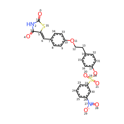 O=C1NC(=O)C(=Cc2ccc(OCCc3ccc(OS(=O)(=O)c4cccc([N+](=O)[O-])c4)cc3)cc2)S1